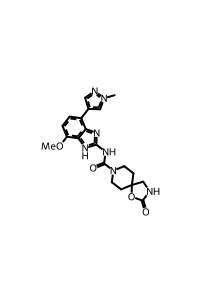 COc1ccc(-c2cnn(C)c2)c2nc(NC(=O)N3CCC4(CC3)CNC(=O)O4)[nH]c12